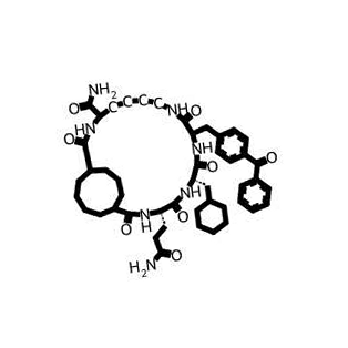 NC(=O)CC[C@@H]1NC(=O)C2CCCCC(CCC2)C(=O)NC(C(N)=O)CCCCNC(=O)C(Cc2ccc(C(=O)c3ccccc3)cc2)NC(=O)[C@H](CC2CCCCC2)NC1=O